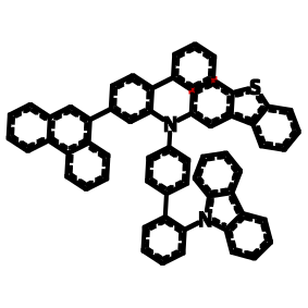 c1ccc(-c2ccc(-c3cc4ccccc4c4ccccc34)cc2N(c2ccc(-c3ccccc3-n3c4ccccc4c4ccccc43)cc2)c2ccc3sc4ccccc4c3c2)cc1